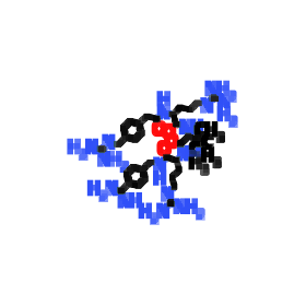 CC(C)(C)[C@H](NC(=O)[C@H](CCCN=C(N)N)NC(=O)Cc1ccc(CN=C(N)N)cc1)C(=O)N[C@@H](CCCN=C(N)N)C(=O)NCc1ccc(C(=N)N)cc1